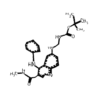 CNC(=O)c1cnc2ccc(NCNC(=O)OC(C)(C)C)cc2c1Nc1ccccc1